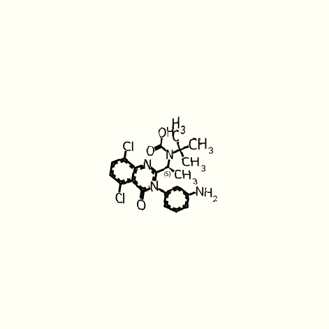 C[C@@H](c1nc2c(Cl)ccc(Cl)c2c(=O)n1-c1cccc(N)c1)N(C(=O)O)C(C)(C)C